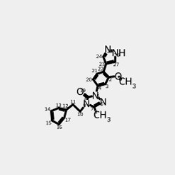 COc1cc(-n2nc(C)n(CCc3ccccc3)c2=O)ccc1-c1cn[nH]c1